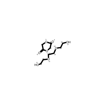 O=C1COC(=O)CO1.OCCOCCOCCO